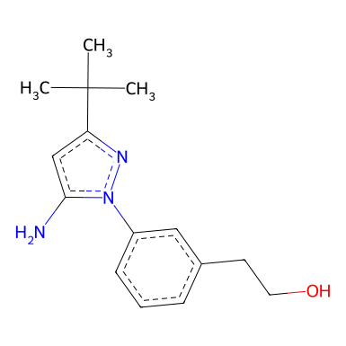 CC(C)(C)c1cc(N)n(-c2cccc(CCO)c2)n1